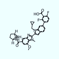 COc1cc(C(=O)N2C[C@H]3CC[C@@H]2[C@@H]3N)cc2nc(-c3cc4ccc(-c5ccc(F)c(C(=O)O)c5F)cc4n3CC3CC3)n(C)c12